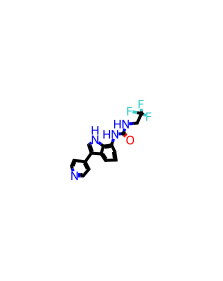 O=C(NCC(F)(F)F)Nc1cccc2c(-c3ccncc3)c[nH]c12